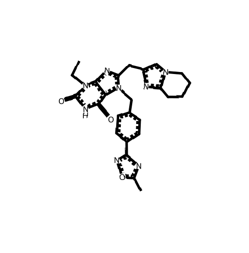 CCn1c(=O)[nH]c(=O)c2c1nc(Cc1cn3c(n1)CCCC3)n2Cc1ccc(-c2noc(C)n2)cc1